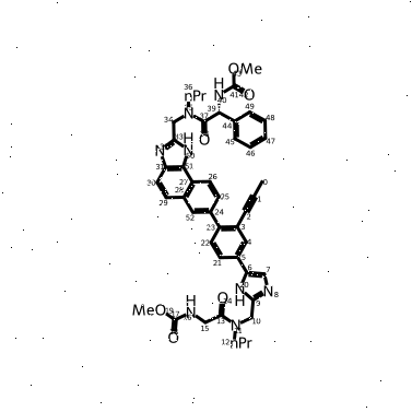 CC#Cc1cc(-c2cnc(CN(CCC)C(=O)CNC(=O)OC)[nH]2)ccc1-c1ccc2c(ccc3nc(CN(CCC)C(=O)[C@H](NC(=O)OC)c4ccccc4)[nH]c32)c1